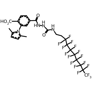 Cc1ccc(C)n1-c1cc(C(=O)NNC(=O)NCCC(F)(F)C(F)(F)C(F)(F)C(F)(F)C(F)(F)C(F)(F)C(F)(F)C(F)(F)F)ccc1C(=O)O